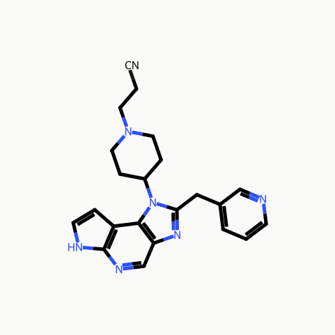 N#CCCN1CCC(n2c(Cc3cccnc3)nc3cnc4[nH]ccc4c32)CC1